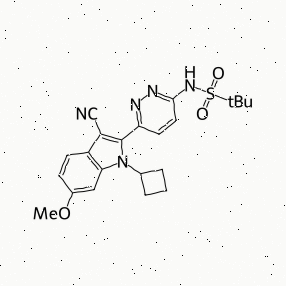 COc1ccc2c(C#N)c(-c3ccc(NS(=O)(=O)C(C)(C)C)nn3)n(C3CCC3)c2c1